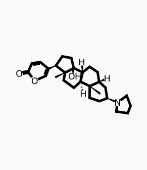 C[C@]12CC[C@H](N3CCCC3)C[C@H]1CC[C@@H]1[C@@H]2CC[C@]2(C)[C@@H](c3ccc(=O)oc3)CC[C@]12O